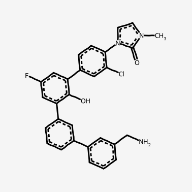 Cn1ccn(-c2ccc(-c3cc(F)cc(-c4cccc(-c5cccc(CN)c5)c4)c3O)cc2Cl)c1=O